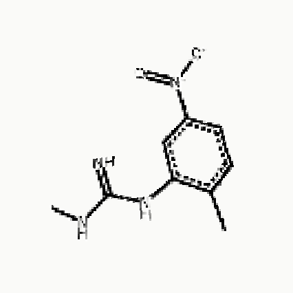 CNC(=N)Nc1cc([N+](=O)[O-])ccc1C